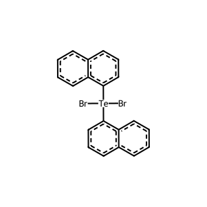 Br[Te](Br)(c1cccc2ccccc12)c1cccc2ccccc12